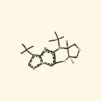 CC(C)(C)c1cnn2cc3c(nc12)N(C(C)(C)C)[C@@H]1COC[C@H]1O3